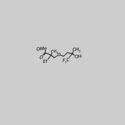 CCC(C)(COCCC(C)(O)C(F)(F)F)C(=O)OC